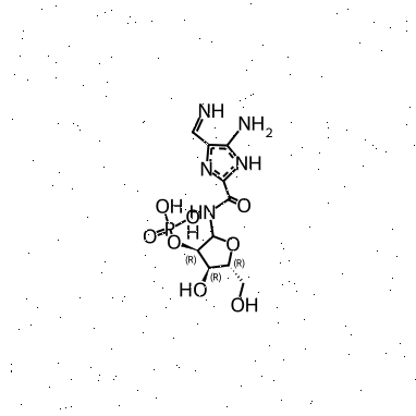 N=Cc1nc(C(=O)NC2O[C@H](CO)[C@@H](O)[C@H]2OP(=O)(O)O)[nH]c1N